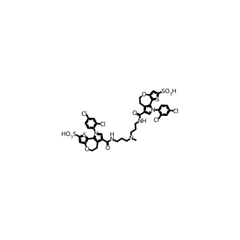 CN(CCCNC(=O)c1cn(-c2ccc(Cl)cc2Cl)c2c1CCOc1cc(S(=O)(=O)O)sc1-2)CCCNC(=O)c1cn(-c2ccc(Cl)cc2Cl)c2c1CCOc1cc(S(=O)(=O)O)sc1-2